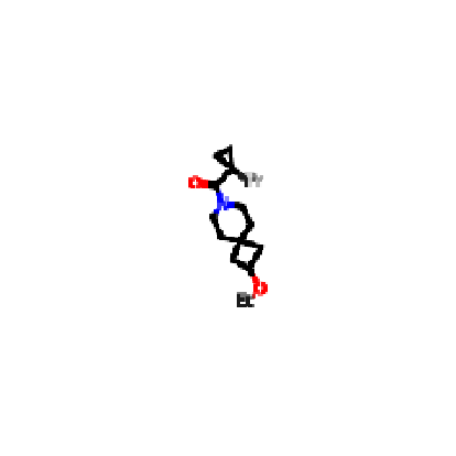 CCOC1CC2(CCN(C(=O)C3(C(C)C)CC3)CC2)C1